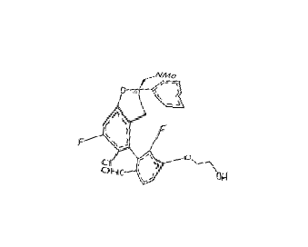 CNC[C@@]1(c2ccccc2)Cc2c(cc(F)c(Cl)c2-c2c(C=O)ccc(OCCO)c2F)O1